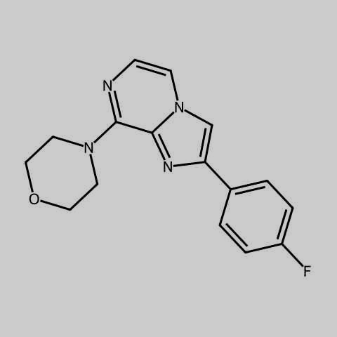 Fc1ccc(-c2cn3ccnc(N4CCOCC4)c3n2)cc1